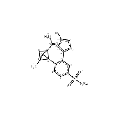 CNS(=O)(=O)c1ccc(C2C3(C(N)=O)CC2(C(F)(F)F)C3)c(-c2cn(C)cn2)c1